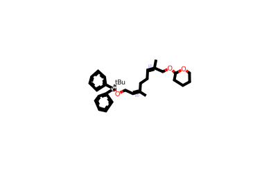 C/C(=C/CO[Si](c1ccccc1)(c1ccccc1)C(C)(C)C)CC/C=C(/C)COC1CCCCO1